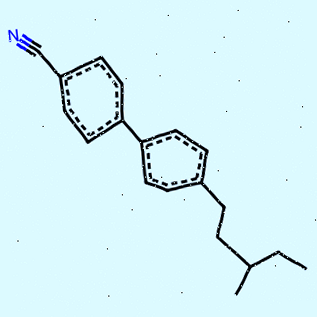 CCC(C)CCc1ccc(-c2ccc(C#N)cc2)cc1